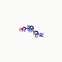 COc1nc(Nc2cccc3c2nc(-c2ccc(=O)n(C)c2)n3C)ccc1-n1cnc(C)c1